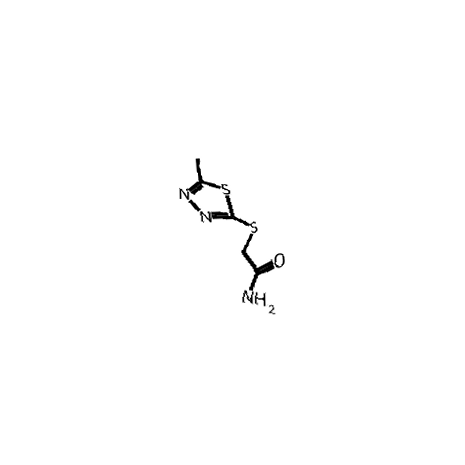 Cc1nnc(SCC(N)=O)s1